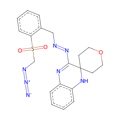 [N-]=[N+]=NCS(=O)(=O)c1ccccc1CN=NC1=Nc2ccccc2NC12CCOCC2